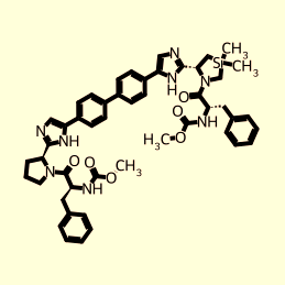 COC(=O)N[C@@H](Cc1ccccc1)C(=O)N1CCC[C@H]1c1ncc(-c2ccc(-c3ccc(-c4cnc([C@@H]5C[Si](C)(C)CN5C(=O)[C@H](Cc5ccccc5)NC(=O)OC)[nH]4)cc3)cc2)[nH]1